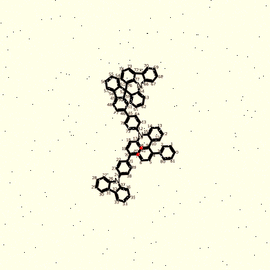 c1ccc(-c2ccccc2-c2ccccc2N(c2ccc(-c3ccc(-n4c5ccccc5c5ccccc54)cc3)cc2)c2ccc(-c3ccc4c(c3)C3(c5ccccc5-4)c4ccccc4-n4c5ccccc5c5cccc3c54)cc2)cc1